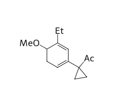 CCC1=CC(C2(C(C)=O)CC2)=CCC1OC